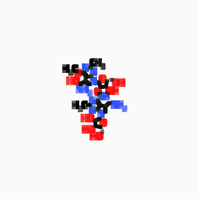 COc1nc(C)nc2c1c(C(N)O)cn2[C@@H]1O[C@H](CO)[C@@H](O)[C@H]1ONc1nc(C)nc2c1c(CN)cn2[C@@H]1O[C@H](CO)[C@@H](O)[C@H]1O